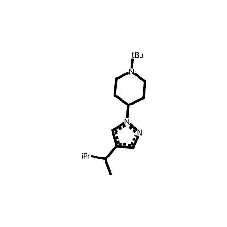 CC(C)C(C)c1cnn(C2CCN(C(C)(C)C)CC2)c1